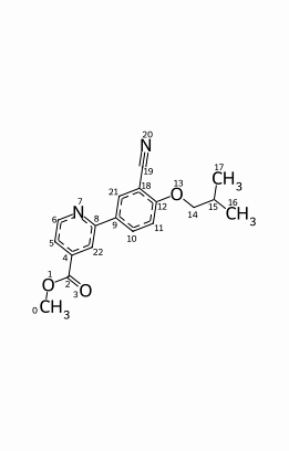 COC(=O)c1ccnc(-c2ccc(OCC(C)C)c(C#N)c2)c1